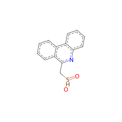 O=[SH](=O)Cc1nc2ccccc2c2ccccc12